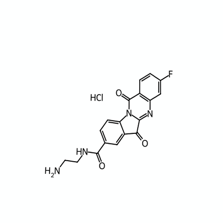 Cl.NCCNC(=O)c1ccc2c(c1)C(=O)c1nc3cc(F)ccc3c(=O)n1-2